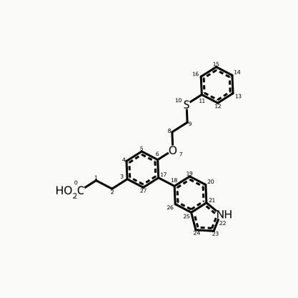 O=C(O)CCc1ccc(OCCSc2ccccc2)c(-c2ccc3[nH]ccc3c2)c1